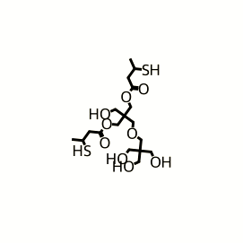 CC(S)CC(=O)OCC(CO)(COCC(CO)(CO)CO)COC(=O)CC(C)S